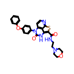 O=C(NCCN1CCOCC1)c1sc2nccc3c2c1NC(=O)N3c1ccc(Oc2ccccc2)cc1